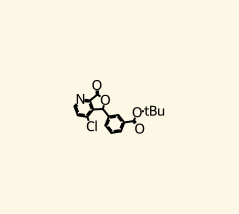 CC(C)(C)OC(=O)c1cccc(C2OC(=O)c3nccc(Cl)c32)c1